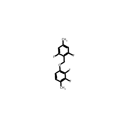 Cc1cc(F)c(COc2ccc(C)c(F)c2F)c(F)c1